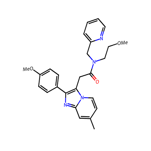 COCCN(Cc1ccccn1)C(=O)Cc1c(-c2ccc(OC)cc2)nc2cc(C)ccn12